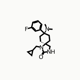 CN(C)[C@]1(c2cccc(F)c2)CC[C@]2(CC1)CNC(=O)N2CC1CC1